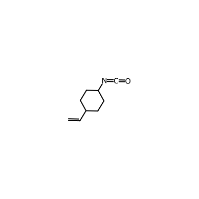 C=CC1CCC(N=C=O)CC1